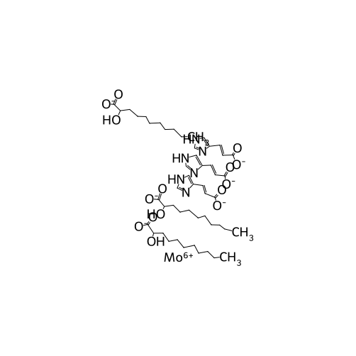 CCCCCCCCCC(O)C(=O)[O-].CCCCCCCCCC(O)C(=O)[O-].CCCCCCCCCC(O)C(=O)[O-].O=C([O-])C=Cc1c[nH]cn1.O=C([O-])C=Cc1c[nH]cn1.O=C([O-])C=Cc1c[nH]cn1.[Mo+6]